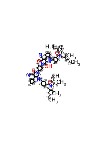 CCCCC(CC)CN(CC(CC)CCCC)C(=O)c1cccc(/N=N/c2cn(-c3ccc(-n4c(O)c(/N=N/c5cccc(C(=O)N(CC(CC)CCCC)CC(CC)CCCC)c5)c(-c5ccccc5)c(C#N)c4=O)cc3)c(=O)c(C#N)c2-c2ccccc2)c1